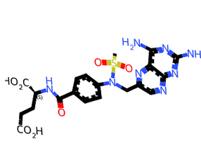 CS(=O)(=O)N(Cc1cnc2nc(N)nc(N)c2n1)c1ccc(C(=O)N[C@@H](CCC(=O)O)C(=O)O)cc1